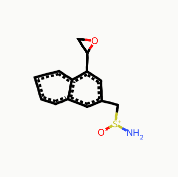 N[S+]([O-])Cc1cc(C2CO2)c2ccccc2c1